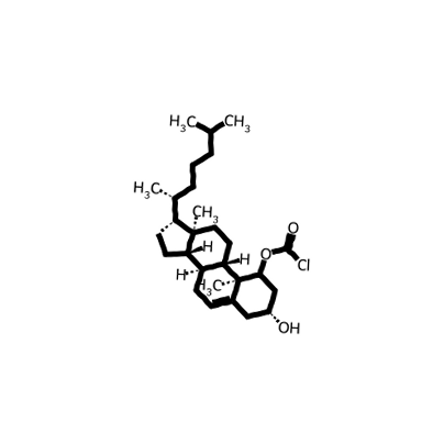 CC(C)CCC[C@@H](C)[C@H]1CC[C@H]2[C@@H]3CC=C4C[C@@H](O)CC(OC(=O)Cl)[C@]4(C)[C@H]3CC[C@]12C